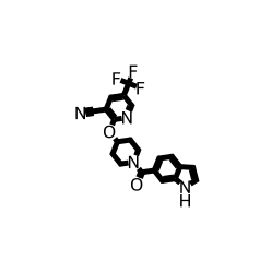 N#Cc1cc(C(F)(F)F)cnc1OC1CCN(C(=O)c2ccc3cc[nH]c3c2)CC1